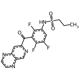 CCCS(=O)(=O)Nc1cc(F)c(F)c(C(=O)c2cc3nccnc3cn2)c1F